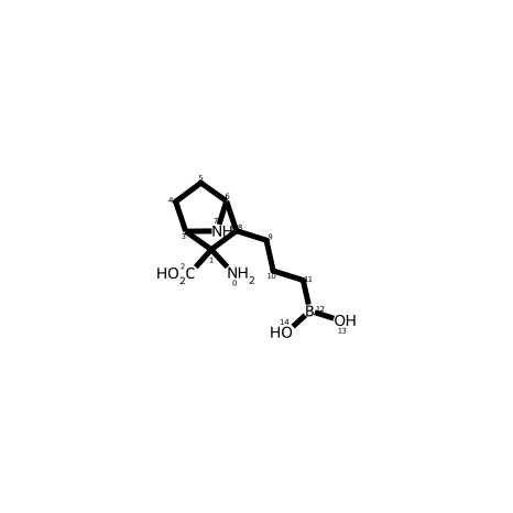 NC1(C(=O)O)C2CCC(N2)C1CCCB(O)O